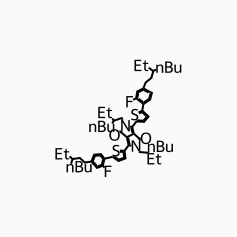 CCCCC(CC)CCc1ccc(-c2ccc(C3=C4C(=O)N(CC(CC)CCCC)C(c5ccc(-c6ccc(CCC(CC)CCCC)cc6F)s5)=C4C(=O)N3CC(CC)CCCC)s2)c(F)c1